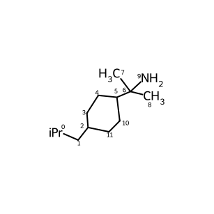 CC(C)CC1CCC(C(C)(C)N)CC1